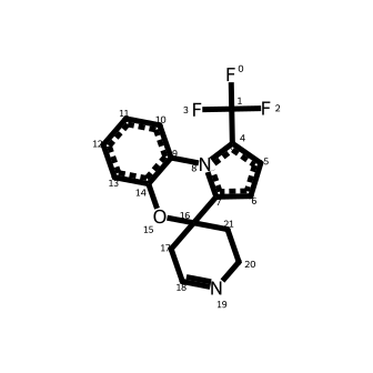 FC(F)(F)c1ccc2n1-c1ccccc1OC21CC=NCC1